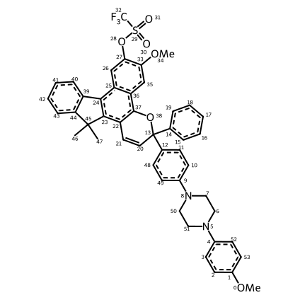 COc1ccc(N2CCN(c3ccc(C4(c5ccccc5)C=Cc5c6c(c7cc(OS(=O)(=O)C(F)(F)F)c(OC)cc7c5O4)-c4ccccc4C6(C)C)cc3)CC2)cc1